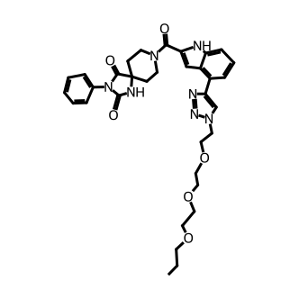 CCCOCCOCCOCCn1cc(-c2cccc3[nH]c(C(=O)N4CCC5(CC4)NC(=O)N(c4ccccc4)C5=O)cc23)nn1